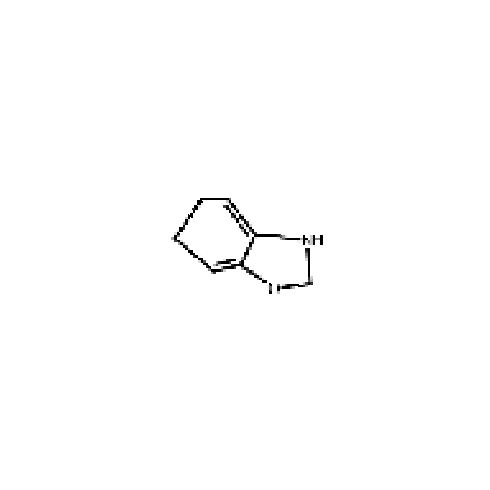 C1=C2NCOC2=CCC1